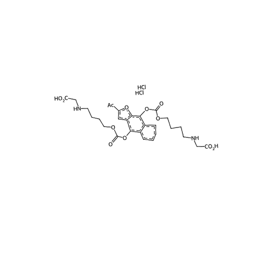 CC(=O)c1cc2c(OC(=O)OCCCCNCC(=O)O)c3ccccc3c(OC(=O)OCCCCNCC(=O)O)c2o1.Cl.Cl